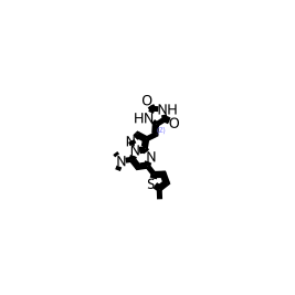 Cc1ccc(-c2cc(N(C)C)n3ncc(/C=C4\NC(=O)NC4=O)c3n2)s1